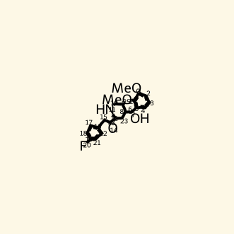 COc1cccc(C(O)C2CCNC(C(=O)Cc3ccc(F)cc3)C2)c1OC